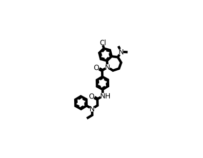 CCN(CC(=O)Nc1ccc(C(=O)N2CCCC(N(C)C)c3cc(Cl)ccc32)cc1)c1ccccc1